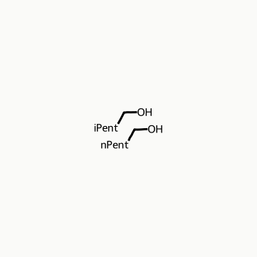 CCCC(C)CO.CCCCCCO